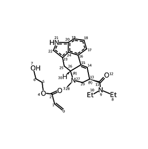 C=CC(=O)OCCO.CCN(CC)C(=O)[C@@H]1C=C2c3cccc4[nH]cc(c34)C[C@H]2N(C)C1